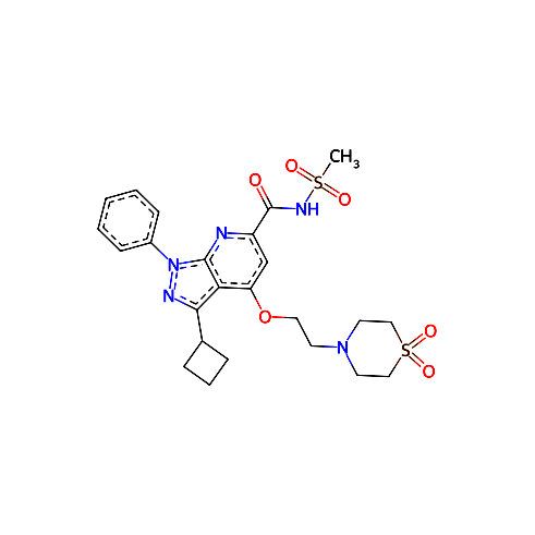 CS(=O)(=O)NC(=O)c1cc(OCCN2CCS(=O)(=O)CC2)c2c(C3CCC3)nn(-c3ccccc3)c2n1